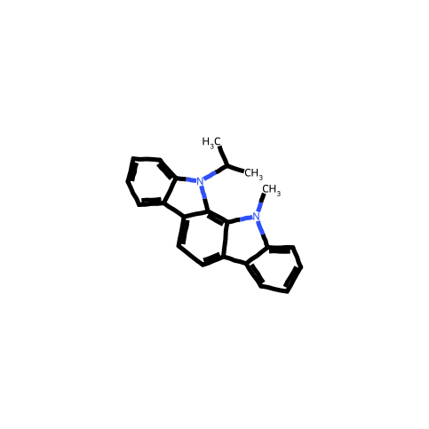 CC(C)n1c2ccccc2c2ccc3c4ccccc4n(C)c3c21